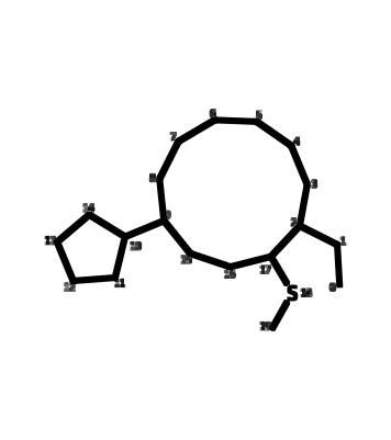 CCC1CCCCCCC(C2CCCC2)CCC1SC